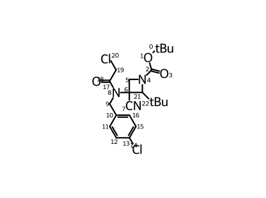 CC(C)(C)OC(=O)N1CC(C#N)(N(Cc2ccc(Cl)cc2)C(=O)CCl)C1C(C)(C)C